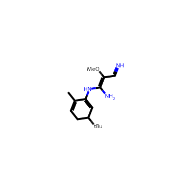 CO/C(C=N)=C(/N)NC1=CC(C(C)(C)C)CC=C1C